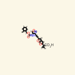 Cc1ccccc1COC(=O)Nc1conc1C#Cc1cc2cc(C3(C(=O)O)CC3)oc2o1